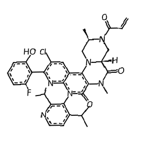 C=CC(=O)N1C[C@@H]2C(=O)N(C)c3c(c4cc(Cl)c(-c5c(O)cccc5F)nc4n(-c4c(C(C)C)ccnc4C(C)C)c3=O)N2C[C@H]1C